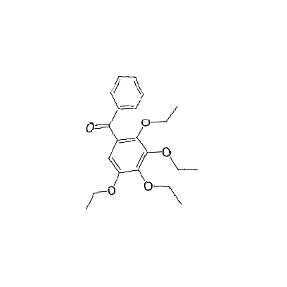 CCOc1cc(C(=O)c2ccccc2)c(OCC)c(OCC)c1OCC